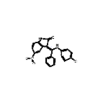 O=C1Nc2ccc([N+](=O)[O-])cc2/C1=C(/Nc1ccc(Cl)cc1)c1ccccc1